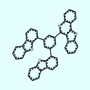 c1ccc2c(c1)nc(-c1cc(-c3cccc4c3oc3ccccc34)cc(-c3cccc4c3oc3ccccc34)c1)c1c3ccccc3sc21